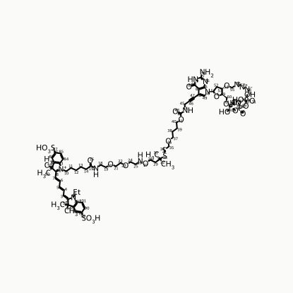 CCN1\C(=C/C=C/C=C/C2=[N+](CCCCCC(=O)NCCOCCOCCNOCCC(C)(C)SSCOCCCCOC(=O)NCC#Cc3cn([C@H]4C[C@H](OCN=[N+]=[N-])[C@@H](COP(=O)(O)OP(=O)(O)OP(=O)(O)O)O4)c4nc(N)[nH]c(=O)c34)c3ccc(S(=O)(=O)O)cc3C2(C)C)C(C)(C)c2cc(S(=O)(=O)O)ccc21